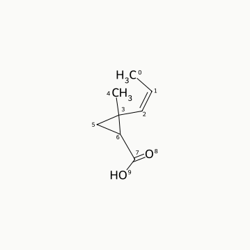 C/C=C\C1(C)CC1C(=O)O